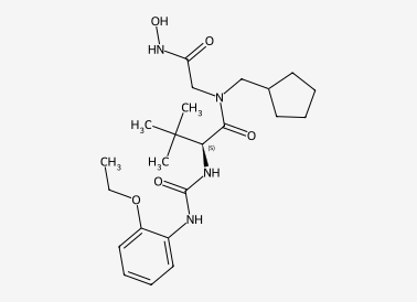 CCOc1ccccc1NC(=O)N[C@H](C(=O)N(CC(=O)NO)CC1CCCC1)C(C)(C)C